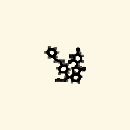 CCCCCN(c1cccc2c1CN(C1CCC(=O)NC1=O)C2=O)C1CCC(NCc2ccccc2)CC1